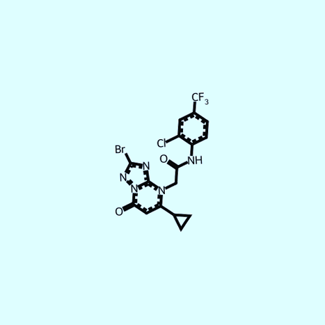 O=C(Cn1c(C2CC2)cc(=O)n2nc(Br)nc12)Nc1ccc(C(F)(F)F)cc1Cl